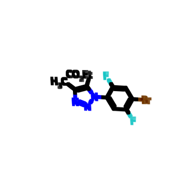 CCOC(=O)c1c(C)nnn1-c1cc(F)c(Br)cc1F